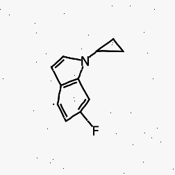 Fc1c[c]c2ccn(C3CC3)c2c1